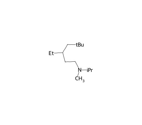 CCC(CCN(C)C(C)C)CC(C)(C)C